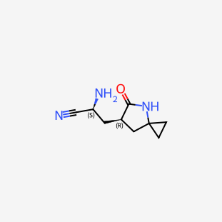 N#C[C@@H](N)C[C@@H]1CC2(CC2)NC1=O